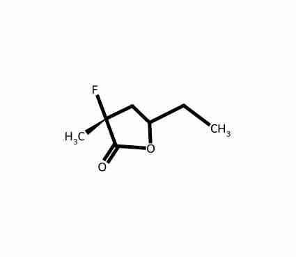 CCC1C[C@@](C)(F)C(=O)O1